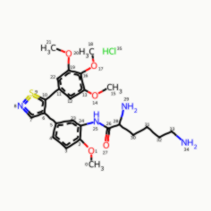 COc1ccc(-c2cnsc2-c2cc(OC)c(OC)c(OC)c2)cc1NC(=O)C(N)CCCCN.Cl